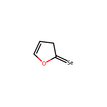 [Se]=C1CC=CO1